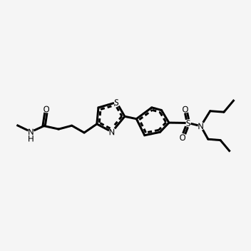 CCCN(CCC)S(=O)(=O)c1ccc(-c2nc(CCCC(=O)NC)cs2)cc1